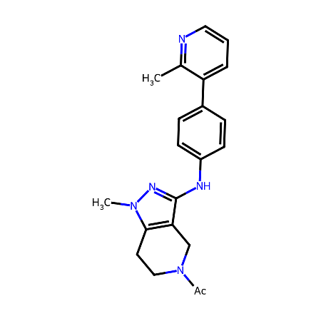 CC(=O)N1CCc2c(c(Nc3ccc(-c4cccnc4C)cc3)nn2C)C1